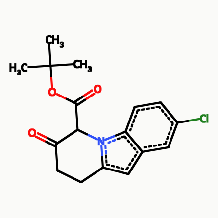 CC(C)(C)OC(=O)C1C(=O)CCc2cc3cc(Cl)ccc3n21